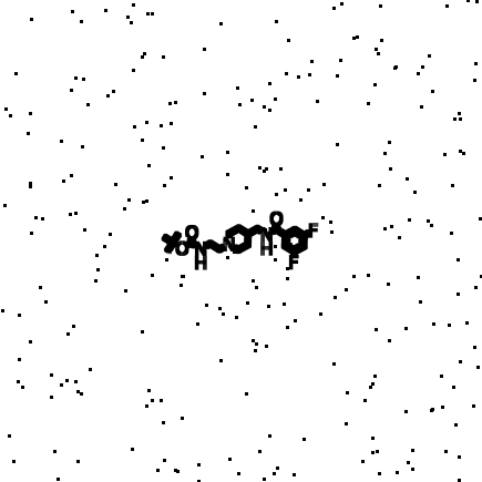 CC(C)(C)OC(=O)NCCN1CCC(CNC(=O)c2cc(F)cc(F)c2)CC1